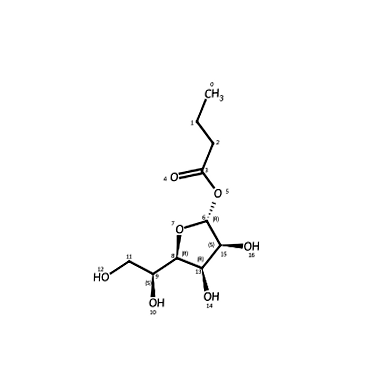 CCCC(=O)O[C@H]1O[C@H]([C@@H](O)CO)[C@H](O)[C@@H]1O